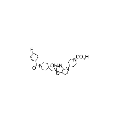 O=C(O)N1CCC(n2ccc3c2N=CN(CC2(O)CCN(C(=O)c4ccc(F)cc4)CC2)O3)CC1